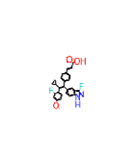 COc1ccc(C(=C(c2ccc(C=CC(=O)O)cc2)c2ccc3[nH]nc(F)c3c2)C2CC2)c(F)c1